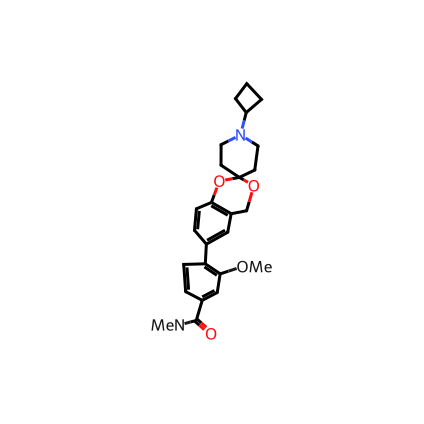 CNC(=O)c1ccc(-c2ccc3c(c2)COC2(CCN(C4CCC4)CC2)O3)c(OC)c1